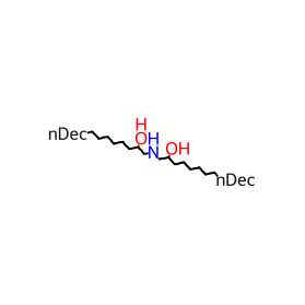 CCCCCCCCCCCCCCCCC(O)CNCC(O)CCCCCCCCCCCCCCCC